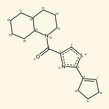 O=C(c1csc(C2=CCCC2)n1)N1CCCC2CCCCC21